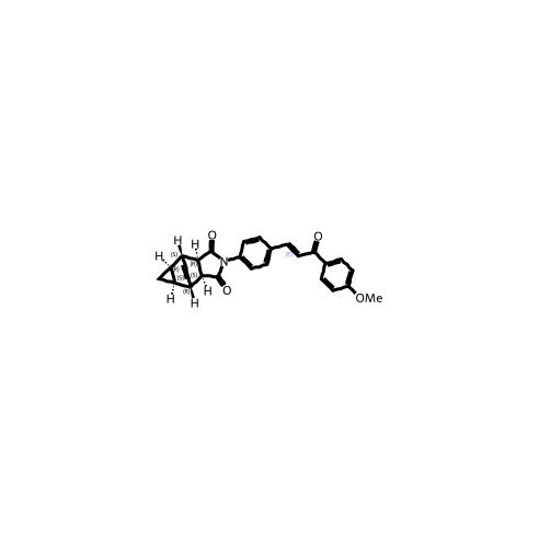 COc1ccc(C(=O)/C=C/c2ccc(N3C(=O)[C@@H]4[C@@H]5C=C[C@@H]([C@H]6C[C@@H]56)[C@@H]4C3=O)cc2)cc1